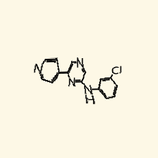 Clc1cccc(Nc2cncc(-c3ccncc3)n2)c1